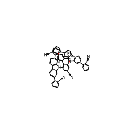 N#Cc1cc(-n2c3cc(-c4ccccc4C#N)ccc3c3ccc(-c4ccccc4C#N)cc32)c(-c2ccccc2C(F)(F)F)c(-n2c3cc(-c4ccccc4C#N)ccc3c3ccc(-c4ccccc4C#N)cc32)c1